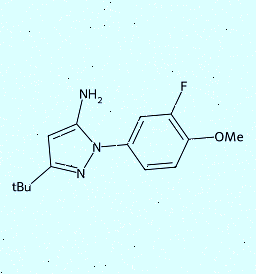 COc1ccc(-n2nc(C(C)(C)C)cc2N)cc1F